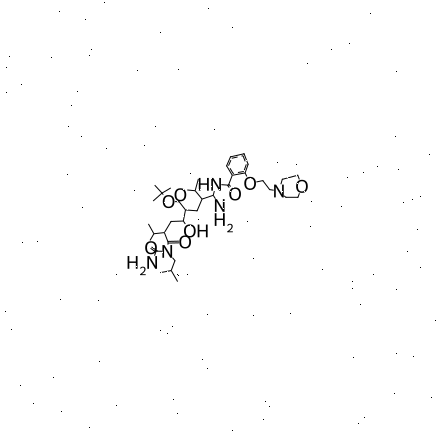 CC(C)CN(C(N)=O)C(=O)C(CC(O)C(CC(C(C)C)C(N)NC(=O)c1ccccc1OCCN1CCOCC1)C(=O)OC(C)(C)C)C(C)C